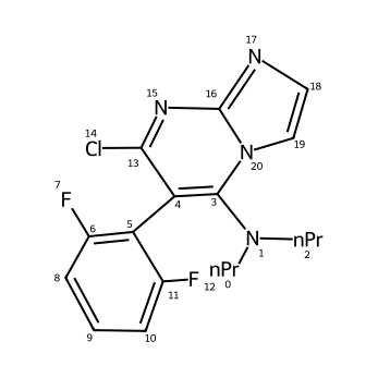 CCCN(CCC)c1c(-c2c(F)cccc2F)c(Cl)nc2nccn12